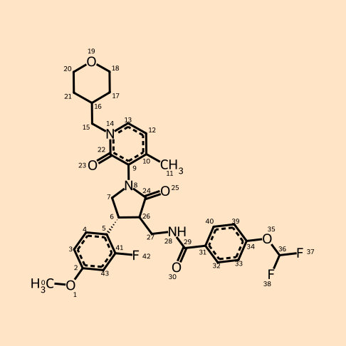 COc1ccc([C@@H]2CN(c3c(C)ccn(CC4CCOCC4)c3=O)C(=O)C2CNC(=O)c2ccc(OC(F)F)cc2)c(F)c1